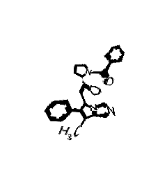 CC1=C(c2ccccc2)C(CC(=O)[C@@H]2CCCN2C(=O)c2ccccc2)n2cncc21